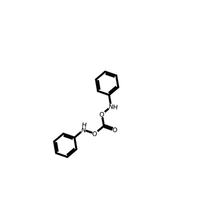 O=C(ONc1ccccc1)ONc1ccccc1